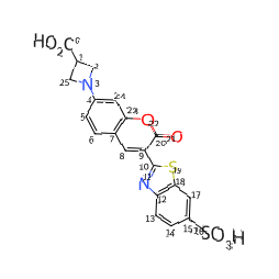 O=C(O)C1CN(c2ccc3cc(-c4nc5ccc(S(=O)(=O)O)cc5s4)c(=O)oc3c2)C1